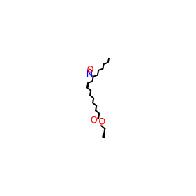 C#CCCOC(=O)CCCCCCC/C=C\CC(CCCCCC)N=O